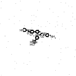 Cl.NC[C@H]1CC[C@H](C(=O)N[C@@H](Cc2ccc(-c3ccc(C(=O)NC4CCNCC4)c(C(F)(F)F)c3)cc2)C(=O)Nc2ccc(-c3nn[nH]n3)cc2)CC1